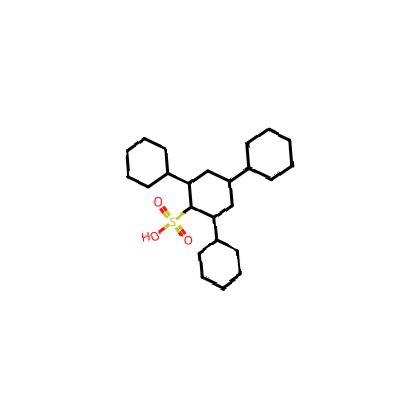 O=S(=O)(O)C1C(C2CCCCC2)CC(C2CCCCC2)CC1C1CCCCC1